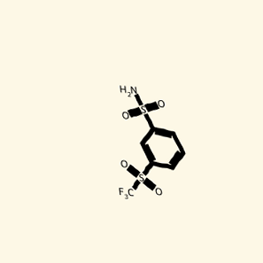 NS(=O)(=O)c1cccc(S(=O)(=O)C(F)(F)F)c1